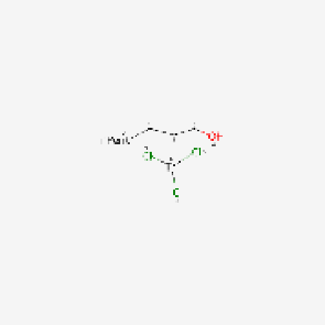 CCCCCCCCO.[Cl][Ti]([Cl])[Cl]